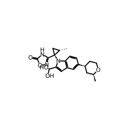 C[C@H]1C[C@@H](c2ccc3c(c2)cc(C(O)O)n3[C@@]2(c3noc(=O)[nH]3)C[C@@H]2C)CCO1